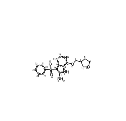 Nc1[nH]c2c(OCC3CCOC3)ncnc2c1S(=O)(=O)c1ccccc1